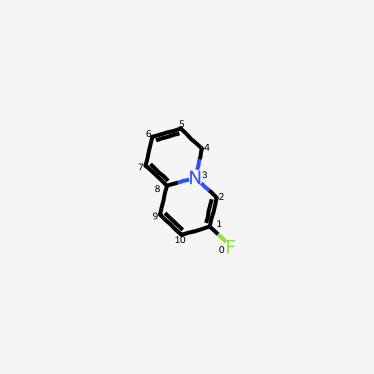 FC1=CN2CC=CC=C2C=C1